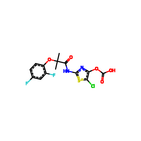 CC(C)(Oc1ccc(F)cc1F)C(=O)Nc1nc(OC(=O)O)c(Cl)s1